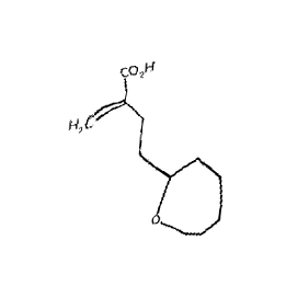 C=C(CCC1CCCCO1)C(=O)O